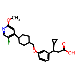 COc1cc(C2CCC(COc3cccc(C(CC(=O)O)C4CC4)c3)CC2)c(F)cn1